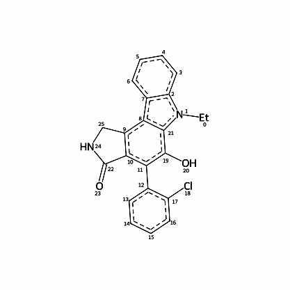 CCn1c2ccccc2c2c3c(c(-c4ccccc4Cl)c(O)c21)C(=O)NC3